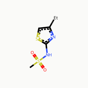 CCc1csc(NS(C)(=O)=O)n1